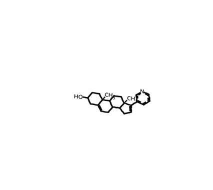 C[C@]12CCC(O)CC1=CCC1C2CC[C@]2(C)C(c3cccnc3)=CCC12